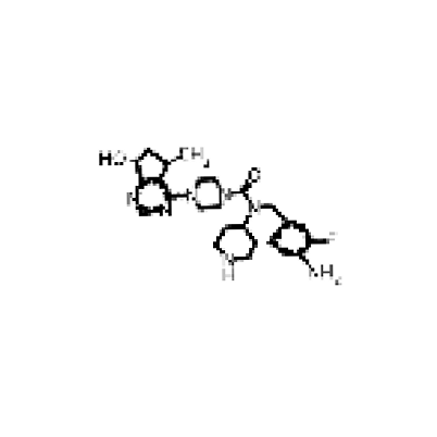 C[C@@H]1C[C@@H](O)c2ncnc(N3CCN(C(=O)N(Cc4ccc(N)c(F)c4)C4CCNCC4)CC3)c21